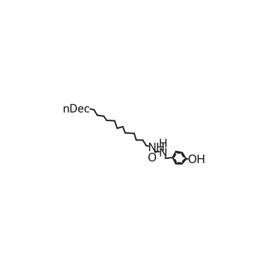 CCCCCCCCCCCCCCCCCCCCCCNC(=O)NCc1ccc(O)cc1